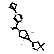 CC1(C)CC(C2[C@H]3CN(C(=O)c4cn(C56CC(C5)C6)cn4)C[C@@H]23)=NO1